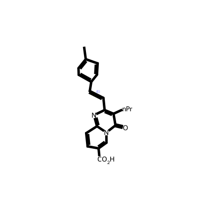 CCCc1c(/C=C/c2ccc(C)cc2)nc2ccc(C(=O)O)cn2c1=O